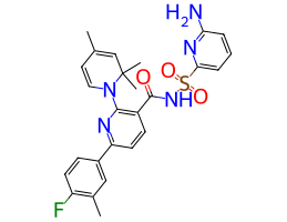 CC1=CC(C)(C)N(c2nc(-c3ccc(F)c(C)c3)ccc2C(=O)NS(=O)(=O)c2cccc(N)n2)C=C1